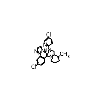 C[C@@H]1CCCN(C(=O)c2ccc(Cl)cc2-n2nccn2)C1CNc1ccc(Cl)cn1